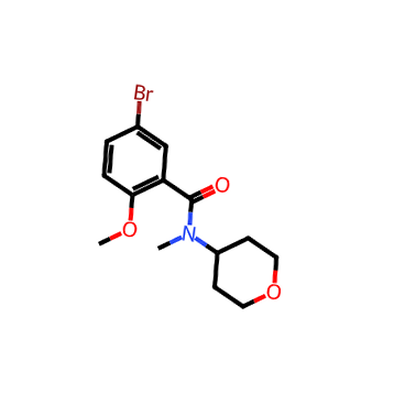 COc1ccc(Br)cc1C(=O)N(C)C1CCOCC1